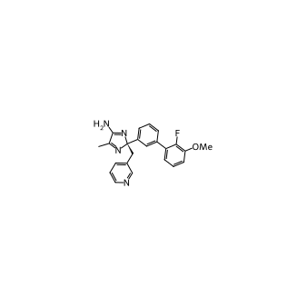 COc1cccc(-c2cccc([C@]3(Cc4cccnc4)N=C(C)C(N)=N3)c2)c1F